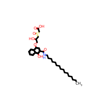 CCCCCCCCCCCCCCCCNC(=O)c1cc(OCC(O)C[S+]([O-])CC(=O)O)c2ccccc2c1O